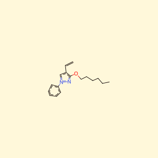 C=Cc1cn(-c2ccccc2)nc1OCCCCCC